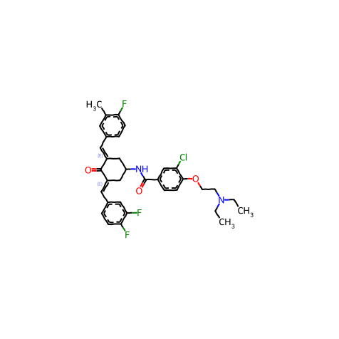 CCN(CC)CCOc1ccc(C(=O)NC2C/C(=C\c3ccc(F)c(C)c3)C(=O)/C(=C/c3ccc(F)c(F)c3)C2)cc1Cl